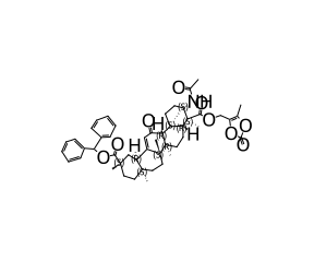 CC(=O)N[C@H]1CC[C@@]2(C)[C@@H](CC[C@]3(C)[C@@H]2C(=O)C=C2[C@@H]4C[C@@](C)(C(=O)OC(c5ccccc5)c5ccccc5)CC[C@]4(C)CC[C@]23C)[C@]1(C)C(=O)OCc1oc(=O)oc1C